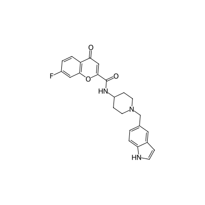 O=C(NC1CCN(Cc2ccc3[nH]ccc3c2)CC1)c1cc(=O)c2ccc(F)cc2o1